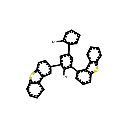 N#Cc1ccccc1-c1cc(-c2ccc3sc4ccccc4c3c2)c(C#N)c(-c2cccc3sc4ccccc4c23)c1